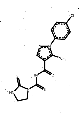 O=C(NC(=S)N1CCNC1=S)c1cnn(-c2ccc(Cl)cc2)c1C(F)(F)F